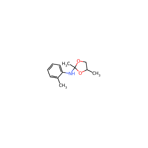 Cc1ccccc1NC1(C)OCC(C)O1